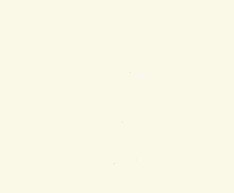 CCCCOc1ccc(C2CC=C(/C=C/CCC3CCC(C)CC3)CC2)c(F)c1F